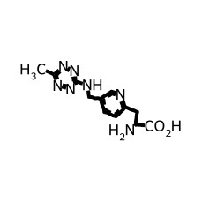 Cc1nnc(NCc2ccc(CC(N)C(=O)O)nc2)nn1